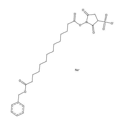 O=C(CCCCCCCCCCCCC(=O)ON1C(=O)CC(S(=O)(=O)[O-])C1=O)OCc1ccccc1.[Na+]